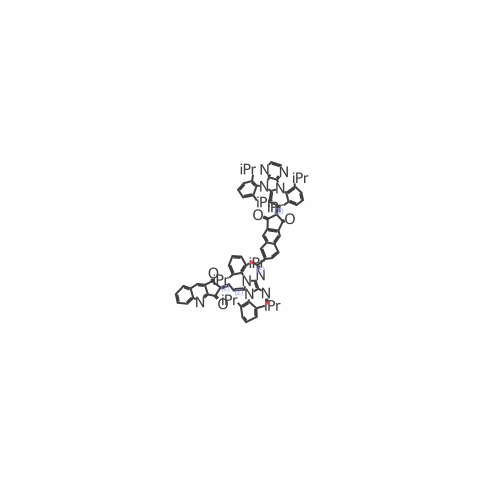 C=NC1=C(/N=C(\C)c2ccc3cc4c(cc3c2)C(=O)/C(=C\C=C2N(c3c(C(C)C)cccc3C(C)C)c3nccnc3N2c2c(C(C)C)cccc2C(C)C)C4=O)N(c2c(C(C)C)cccc2C(C)C)/C(=C\C=C2\C(=O)c3cc4ccccc4nc3C2=O)N1c1c(C(C)C)cccc1C(C)C